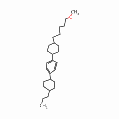 CCCC1CCC(c2ccc(C3CCC(CCCCCOC)CC3)cc2)CC1